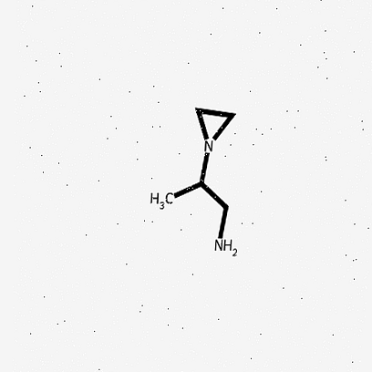 CC(CN)N1CC1